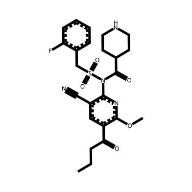 CCCC(=O)c1cc(C#N)c(N(C(=O)C2CCNCC2)S(=O)(=O)Cc2ccccc2F)nc1OC